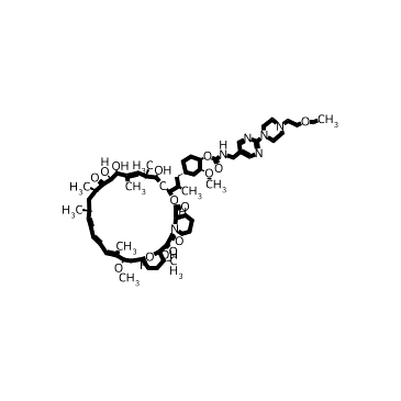 CCOCCN1CCN(c2ncc(CNC(=O)O[C@@H]3CC[C@@H](C[C@@H](C)[C@@H]4C[C@@H](O)[C@H](C)/C=C(\C)[C@@H](O)[C@@H](O)C(=O)[C@H](C)C[C@H](C)/C=C/C=C/C=C(\C)[C@@H](OC)C[C@@H]5CC[C@@H](C)[C@@](O)(O5)C(=O)C(=O)N5CCCC[C@H]5C(=O)O4)C[C@H]3OC)cn2)CC1